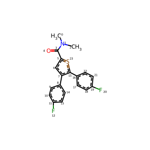 CN(C)C(=O)c1cc(-c2ccc(F)cc2)c(-c2ccc(F)cc2)s1